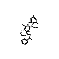 CCN(c1nc(C)c2c(n1)N(CC(C)c1ccccc1)CCCC2)c1c(C)cc(C)cc1C